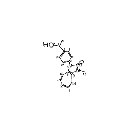 CC(O)c1ccc(-n2c3c(n(C)c2=O)CC=CC=C3)cc1